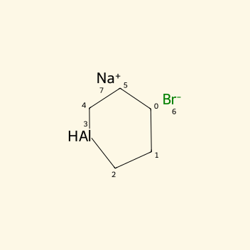 C1C[CH2][AlH][CH2]C1.[Br-].[Na+]